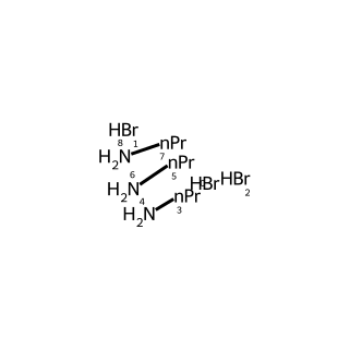 Br.Br.Br.CCCN.CCCN.CCCN